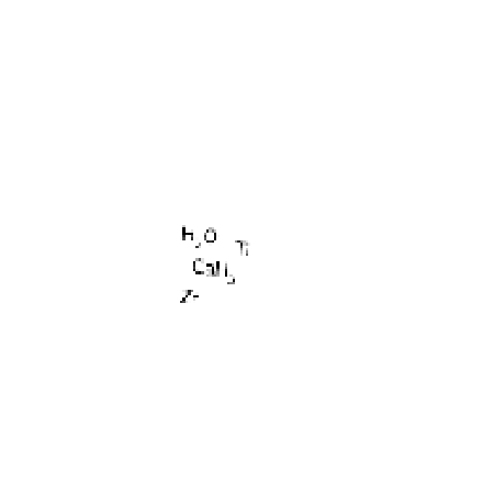 O.[CaH2].[Ti].[Zr]